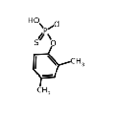 Cc1ccc(OP(O)(=S)Cl)c(C)c1